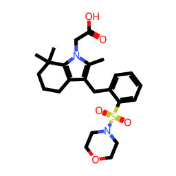 Cc1c(Cc2ccccc2S(=O)(=O)N2CCOCC2)c2c(n1CC(=O)O)C(C)(C)CCC2